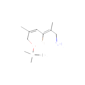 CC(=C/C(Br)=C(\C)CN)[C@@H](C)O[Si](C)(C)C(C)(C)C